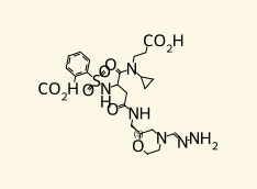 NN=CN1CCO[C@@H](CNC(=O)CC(NS(=O)(=O)c2ccccc2C(=O)O)C(=O)N(CCC(=O)O)C2CC2)C1